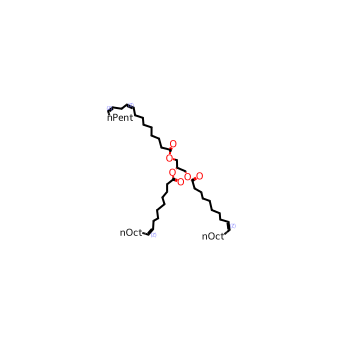 CCCCC/C=C\C/C=C\CCCCCCCC(=O)OCC(COC(=O)CCCCCCC/C=C\CCCCCCCC)OC(=O)CCCCCCC/C=C\CCCCCCCC